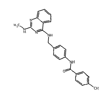 CNc1nc(NCc2ccc(NC(=O)c3ccc(C)cc3)cc2)c2ccccc2n1